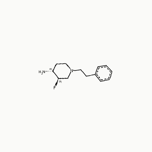 N[C@@H]1CCN(CCc2ccccc2)C[C@H]1F